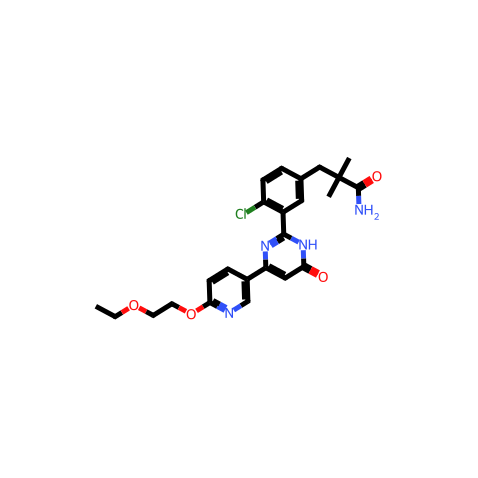 CCOCCOc1ccc(-c2cc(=O)[nH]c(-c3cc(CC(C)(C)C(N)=O)ccc3Cl)n2)cn1